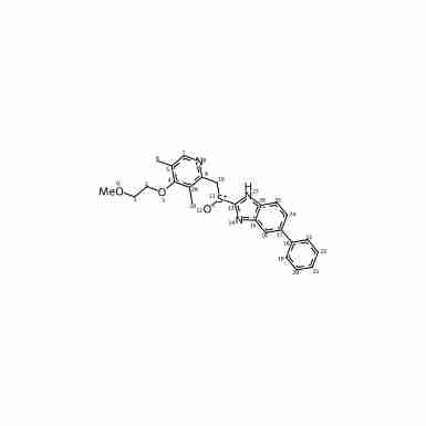 COCCOc1c(C)cnc(C[S+]([O-])c2nc3cc(-c4ccccc4)ccc3[nH]2)c1C